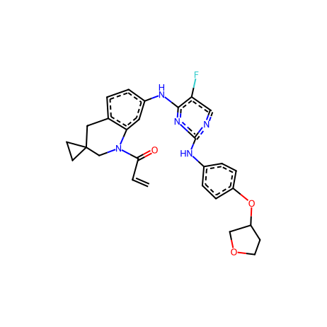 C=CC(=O)N1CC2(CC2)Cc2ccc(Nc3nc(Nc4ccc(OC5CCOC5)cc4)ncc3F)cc21